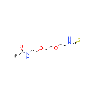 CC(C)C(=O)NCCOCCOCCNC=S